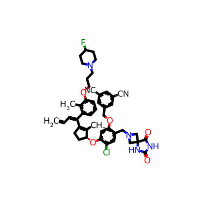 C=C/C=C(\C1=C(C)[C@@H](Oc2cc(OCc3cc(C#N)cc(C#N)c3)c(CN3CC4(C3)NC(=O)NC4=O)cc2Cl)CC1)c1cccc(OCCCN2CCC(F)CC2)c1C